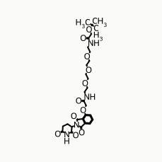 CC(C)(C)OCC(=O)NCCOCCOCCOCCNC(=O)COc1cccc2c1C(=O)N(C1CCC(=O)NC1=O)C2=O